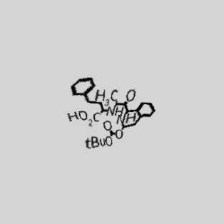 C[C@H](NC(CCc1ccccc1)C(=O)O)C(=O)C1NC(OC(=O)OC(C)(C)C)Cc2ccccc21